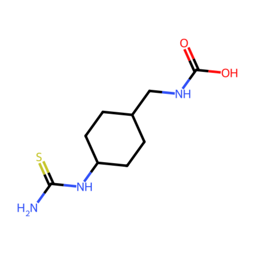 NC(=S)NC1CCC(CNC(=O)O)CC1